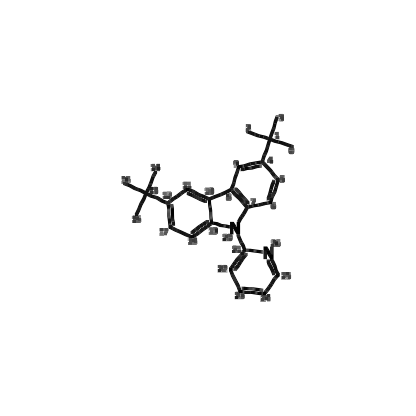 CC(C)(C)c1ccc2c(c1)c1cc(C(C)(C)C)ccc1n2-c1ccccn1